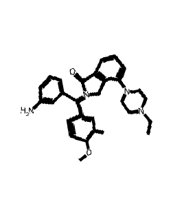 CCN1CCN(c2cccc3c2CN(C(c2cccc(N)c2)c2ccc(OC)c(C)c2)C3=O)CC1